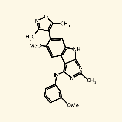 COc1cccc(Nc2nc(C)nc3[nH]c4cc(-c5c(C)noc5C)c(OC)cc4c23)c1